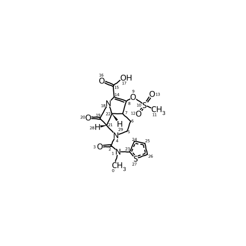 CN(C(=O)N1CCC2C(OS(C)(=O)=O)=C(C(=O)O)N3C(=O)[C@@H]1[C@@H]23)c1cccs1